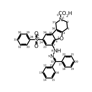 O=C(O)N1CCc2oc3c(NN=C(c4ccccc4)c4ccccc4)cc(S(=O)(=O)c4ccccc4)cc3c2C1